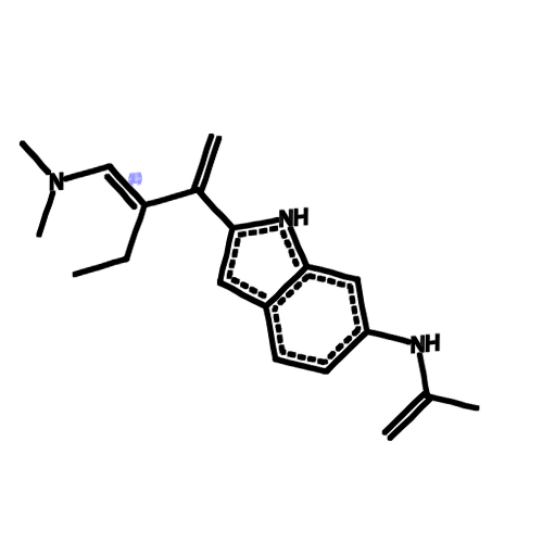 C=C(C)Nc1ccc2cc(C(=C)/C(=C/N(C)C)CC)[nH]c2c1